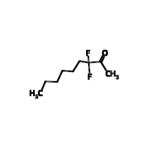 CCCCCCC(F)(F)C(C)=O